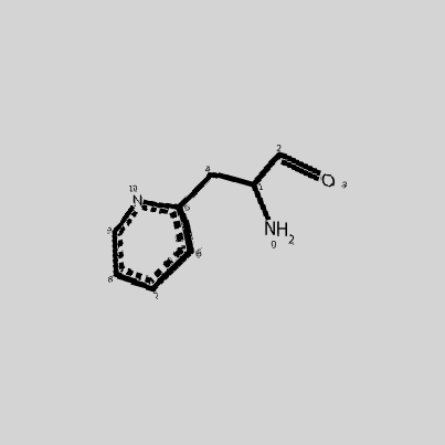 NC([C]=O)Cc1ccccn1